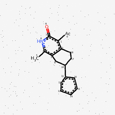 CC(=O)c1c2c(c(C)[nH]c1=O)CC(c1ccccc1)CC2